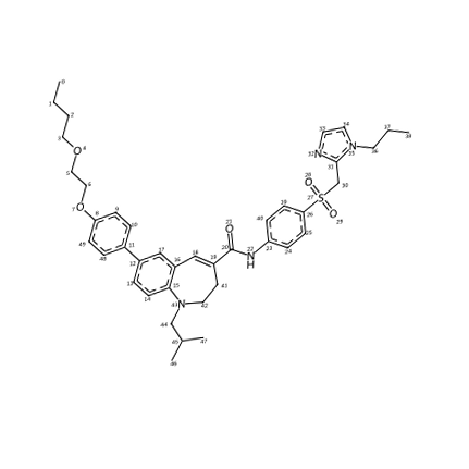 CCCCOCCOc1ccc(-c2ccc3c(c2)C=C(C(=O)Nc2ccc(S(=O)(=O)Cc4nccn4CCC)cc2)CCN3CC(C)C)cc1